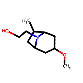 COC1CC2CC(C)C(C1)N2CCO